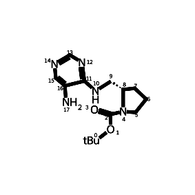 CC(C)(C)OC(=O)N1CCC[C@H]1CNc1ncncc1N